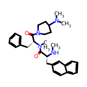 CN[C@H](Cc1ccc2ccccc2c1)C(=O)N(C)[C@H](Cc1ccccc1)C(=O)N1CCC(N(C)C)CC1